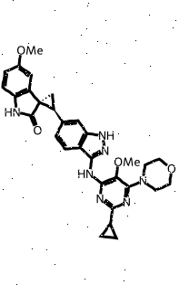 COc1ccc2c(c1)[C@]1(C[C@H]1c1ccc3c(Nc4nc(C5CC5)nc(N5CCOCC5)c4OC)n[nH]c3c1)C(=O)N2